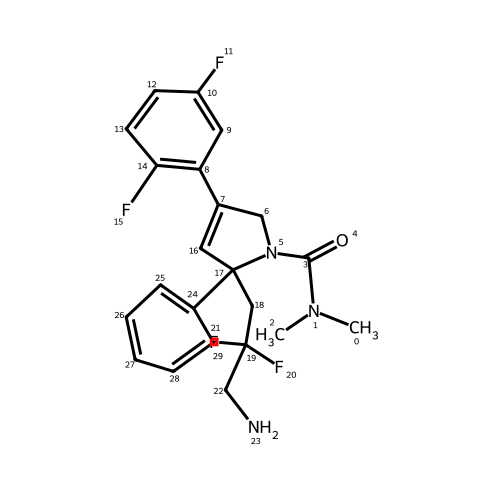 CN(C)C(=O)N1CC(c2cc(F)ccc2F)=CC1(CC(F)(F)CN)c1ccccc1